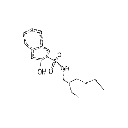 CCCCC(CC)CNS(=O)(=O)c1cc2ccccc2cc1O